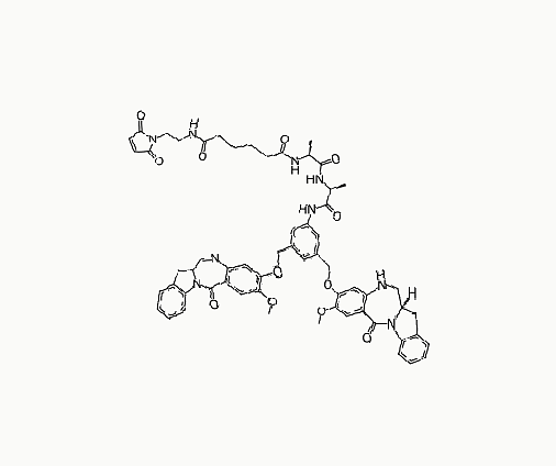 COc1cc2c(cc1OCc1cc(COc3cc4c(cc3OC)C(=O)N3c5ccccc5C[C@H]3CN4)cc(NC(=O)[C@H](C)NC(=O)[C@H](C)NC(=O)CCCCC(=O)NCCN3C(=O)C=CC3=O)c1)N=CC1Cc3ccccc3N1C2=O